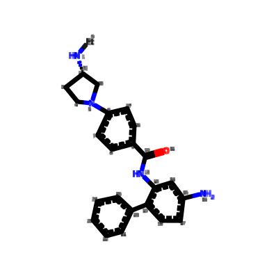 CCN[C@H]1CCN(c2ccc(C(=O)Nc3cc(N)ccc3-c3ccccc3)cc2)C1